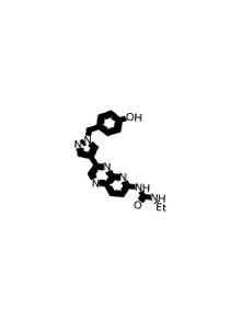 CCNC(=O)Nc1ccc2ncc(-c3cnn(Cc4ccc(O)cc4)c3)nc2n1